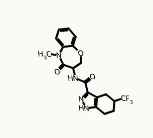 CN1C(=O)C(NC(=O)c2n[nH]c3c2CC(C(F)(F)F)CC3)COc2ccccc21